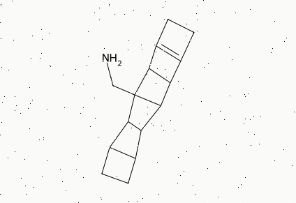 NCC12C3C4=C(CC4)C3C1C1C3CCC3C12